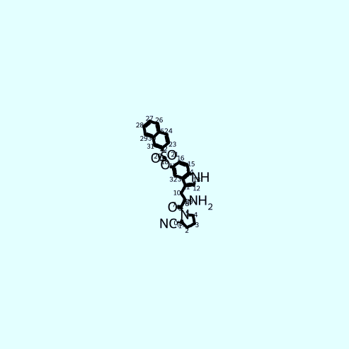 N#C[C@@H]1CCCN1C(=O)[C@@H](N)Cc1c[nH]c2ccc(OS(=O)(=O)c3ccc4ccccc4c3)cc12